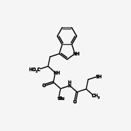 CC(CS)C(=O)NC(C(=O)NC(Cc1c[nH]c2ccccc12)C(=O)O)C(C)(C)C